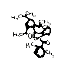 Cc1cccc(C)c1C(=O)[P](=O)c1ccccc1C(=O)c1c(C(C)C)cc(C(C)C)cc1C(C)C